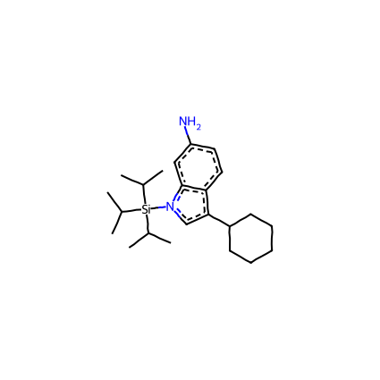 CC(C)[Si](C(C)C)(C(C)C)n1cc(C2CCCCC2)c2ccc(N)cc21